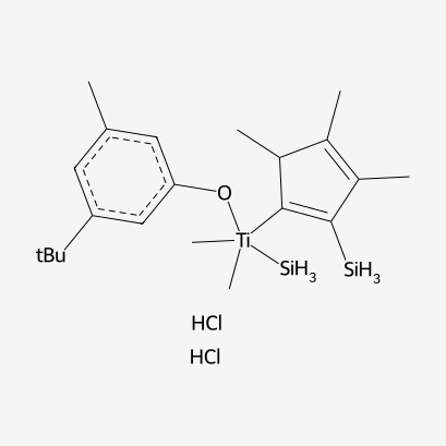 CC1=C(C)C(C)[C]([Ti]([CH3])([CH3])([SiH3])[O]c2cc(C)cc(C(C)(C)C)c2)=C1[SiH3].Cl.Cl